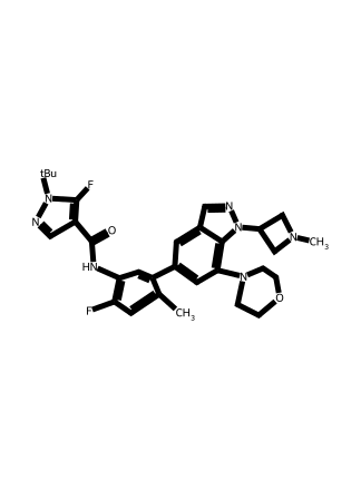 Cc1cc(F)c(NC(=O)c2cnn(C(C)(C)C)c2F)cc1-c1cc(N2CCOCC2)c2c(cnn2C2CN(C)C2)c1